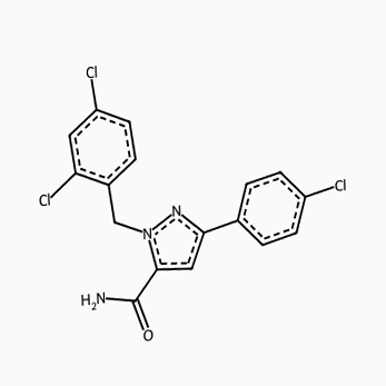 NC(=O)c1cc(-c2ccc(Cl)cc2)nn1Cc1ccc(Cl)cc1Cl